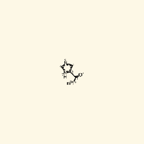 CCCC(=O)c1cnc[nH]1